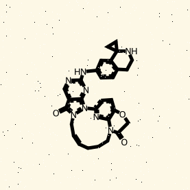 O=C1COc2ccc3nc2N1CCC/C=C\Cn1c(=O)c2cnc(Nc4ccc5c(c4)C4(CC4)NCC5)nc2n1-3